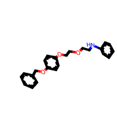 c1ccc(COc2ccc(OCCOCCNc3ccccc3)cc2)cc1